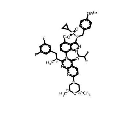 COc1ccc(CN(c2nn(CC(F)F)c3c(-n4c([C@@H](N)Cc5cc(F)cc(F)c5)nc5nc(N6C[C@@H](C)O[C@@H](C)C6)ccc5c4=O)ccc(Cl)c23)S(=O)(=O)C2CC2)cc1